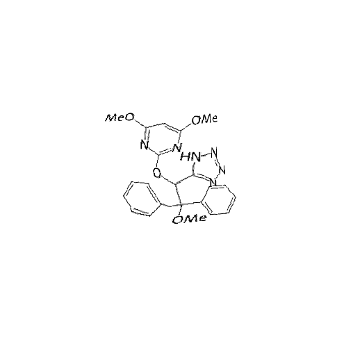 COc1cc(OC)nc(OC(c2nnn[nH]2)C(OC)(c2ccccc2)c2ccccc2)n1